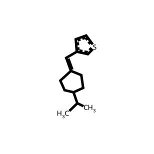 CC(C)C1CCC(=Cc2ccsc2)CC1